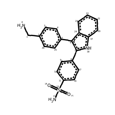 NCc1ccc(-c2c(-c3ccc(S(N)(=O)=O)cc3)[nH]c3ccccc23)cc1